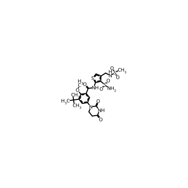 COc1c(C(=O)Nc2scc(CNS(C)(=O)=O)c2S(N)(=O)=O)cc(N2CCC(=O)NC2=O)cc1C(C)(C)C